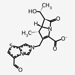 C[C@@H](O)[C@H]1C(=O)N2C(C(=O)[O-])=C(Cn3cc4scc(C=O)[n+]4c3)[C@H](C)[C@H]12